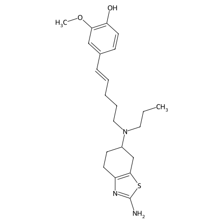 CCCN(CCC/C=C/c1ccc(O)c(OC)c1)C1CCc2nc(N)sc2C1